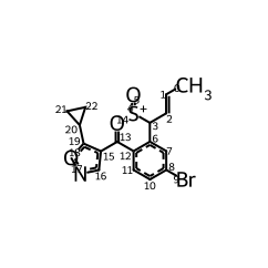 CC=CC([S+]=O)c1cc(Br)ccc1C(=O)c1cnoc1C1CC1